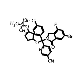 CC(C)(C)[Si](C)(C)OC1CCC(OC(c2ccc(Cl)cc2)(c2ccc(C#N)cn2)N2Cc3c(F)cc(Br)cc3C2=O)C1